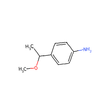 COC(C)c1ccc(N)cc1